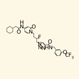 O=C(CC1CCCCC1)Nc1ccn(CCC(F)Cn2cc(C(=O)NCc3cccc(OC(F)(F)F)c3)nn2)c(=O)c1